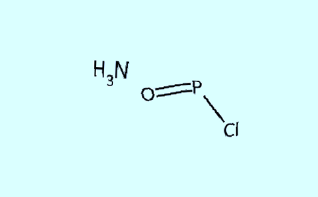 N.O=PCl